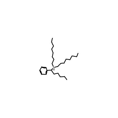 CCCCCCCC[SiH](CCCCCCCC)C(CCCCC)c1ccccc1